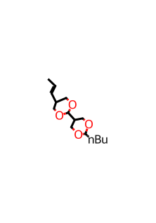 CC=CC1COC(C2COC(CCCC)OC2)OC1